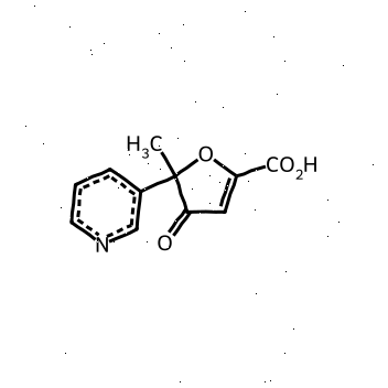 CC1(c2cccnc2)OC(C(=O)O)=CC1=O